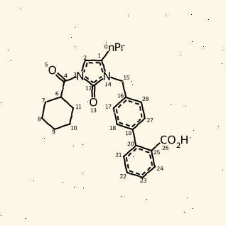 CCCc1cn(C(=O)C2CCCCC2)c(=O)n1Cc1ccc(-c2ccccc2C(=O)O)cc1